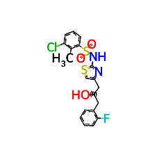 Cc1c(Cl)cccc1S(=O)(=O)Nc1nc(C[C@H](O)Cc2ccccc2F)cs1